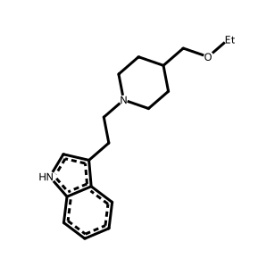 CCOCC1CCN(CCc2c[nH]c3ccccc23)CC1